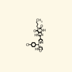 CCCCn1c(=O)[nH]c2nc(-c3cnn(C(c4ccc(Cl)cc4)N4C=CON4)c3)[nH]c2c1=O